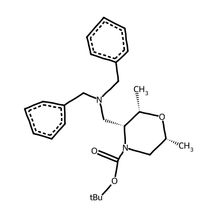 C[C@@H]1CN(C(=O)OC(C)(C)C)[C@H](CN(Cc2ccccc2)Cc2ccccc2)[C@H](C)O1